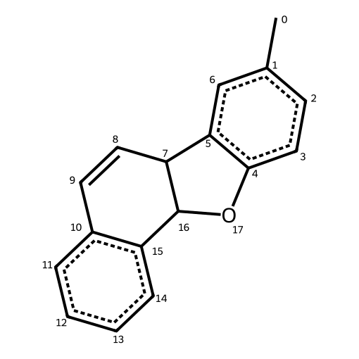 Cc1ccc2c(c1)C1C=Cc3ccccc3C1O2